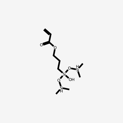 C=CC(=O)OCCC[Si](O)(O[SiH](C)C)O[SiH](C)C